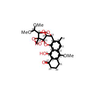 COc1c2c(c(O)c3c4c(c(C)cc13)C1OC3(C(OC)OC)OC1C(O)(O4)C31CO1)C(=O)CCC2